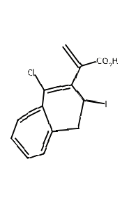 C=C(C(=O)O)C1=C(Cl)c2ccccc2CC1I